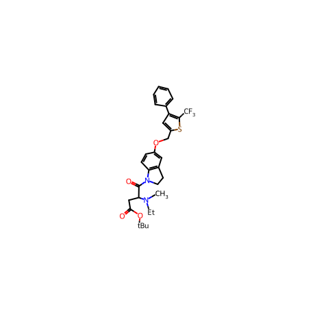 CCN(C)C(CC(=O)OC(C)(C)C)C(=O)N1CCc2cc(OCc3cc(-c4ccccc4)c(C(F)(F)F)s3)ccc21